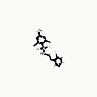 Cc1cc(C(C)C)cc(C)c1S(=O)(=O)NCCc1ccccc1Cl